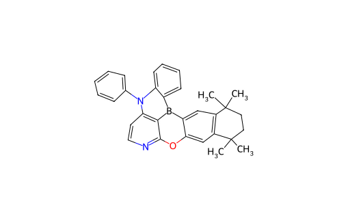 CC1(C)CCC(C)(C)c2cc3c(cc21)Oc1nccc2c1B3c1ccccc1N2c1ccccc1